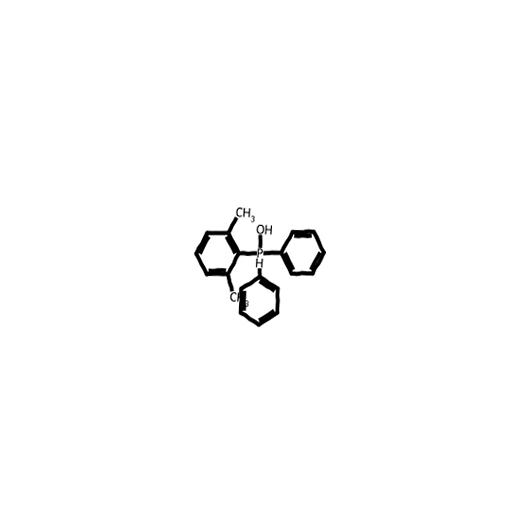 Cc1cccc(C)c1[PH](O)(c1ccccc1)c1ccccc1